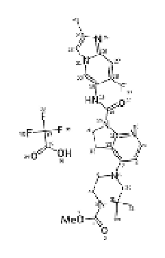 COC(=O)N1CCN(c2ccnc3c2CCN3C(=O)Nc2cn3cc(C)nc3cc2F)CC1(C)C.O=C(O)C(F)(F)F